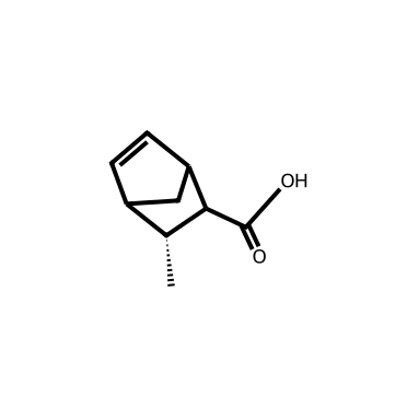 C[C@@H]1C2C=CC(C2)C1C(=O)O